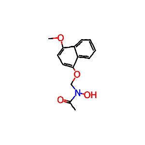 COc1ccc(OCN(O)C(C)=O)c2ccccc12